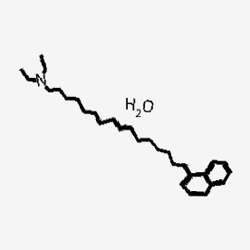 CCN(CC)CCCCCCCCCCCCCCCCc1cccc2ccccc12.O